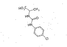 CC(NC(=O)Nc1ccc(Cl)cc1)C(=O)O